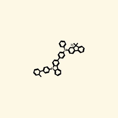 CC1C=CC=CC1c1ccc(-n2c3ccccc3c3cc(-c4ccc(N(C5=CC=C6c7ccccc7C(C)(C)[C@@H]6C5)c5ccccc5)cc4)ccc32)cc1